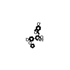 COc1ccc2c(C[C@@H]3C[C@@H](c4ccc(OC)c(OC5CCCC5)c4)CNC3=O)occ2c1